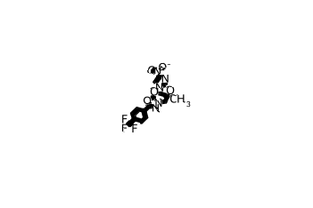 CC1(Cn2nc(-c3ccc(C(F)(F)F)cc3)oc2=O)Cn2cc([N+](=O)[O-])nc2O1